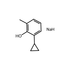 Cc1cccc(C2CC2)c1O.[NaH]